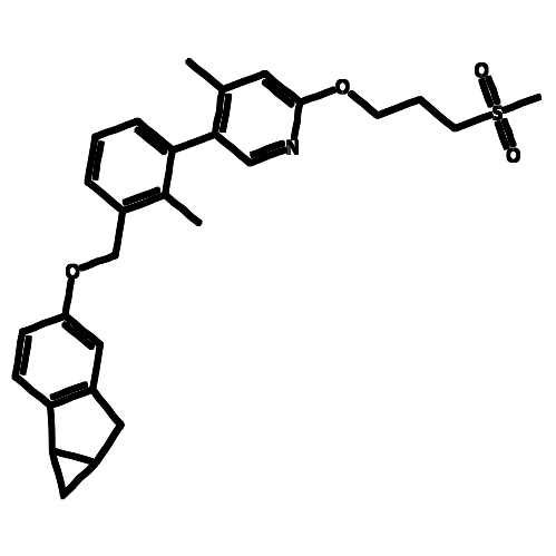 Cc1cc(OCCCS(C)(=O)=O)ncc1-c1cccc(COc2ccc3c(c2)CC2CC32)c1C